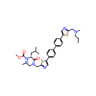 CCCN(C)Cc1ncc(-c2ccc(-c3ccc(-c4cnc(CN(CCC)C(=O)[C@H](CC(C)C)NC(=O)OC)s4)cc3)cc2)s1